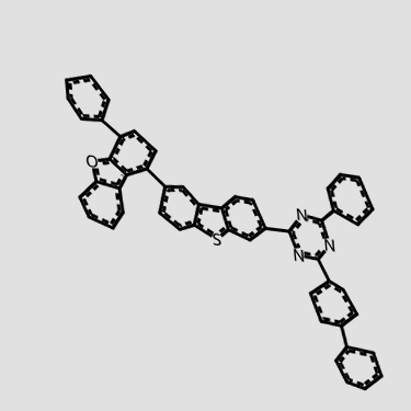 c1ccc(-c2ccc(-c3nc(-c4ccccc4)nc(-c4ccc5c(c4)sc4ccc(-c6ccc(-c7ccccc7)c7oc8ccccc8c67)cc45)n3)cc2)cc1